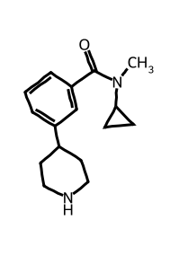 CN(C(=O)c1cccc(C2CCNCC2)c1)C1CC1